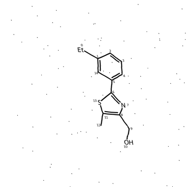 CCc1cccc(-c2nc(CO)c(C)s2)c1